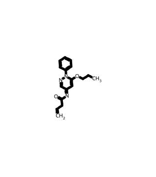 C=CCC(=O)N=c1cnn(-c2ccccc2)c(OCCC)c1